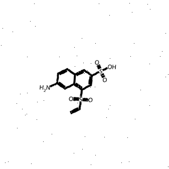 C=CS(=O)(=O)c1cc(S(=O)(=O)O)cc2ccc(N)cc12